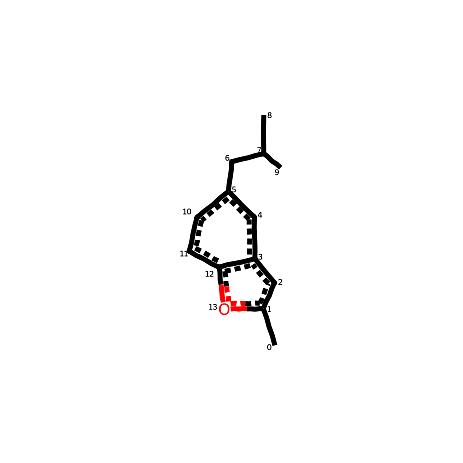 Cc1cc2cc(CC(C)C)ccc2o1